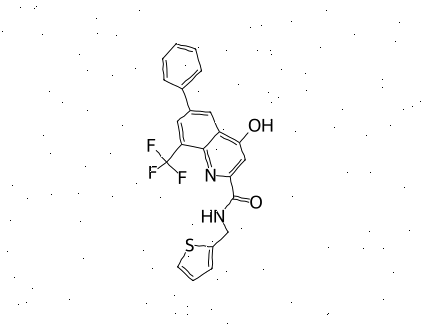 O=C(NCc1cccs1)c1cc(O)c2cc(-c3ccccc3)cc(C(F)(F)F)c2n1